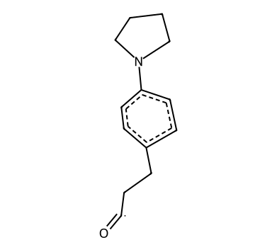 O=[C]CCc1ccc(N2CCCC2)cc1